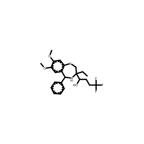 CCC1(C(O)CCC(F)(F)F)CSc2cc(OC)c(OC)cc2C(c2ccccc2)N1